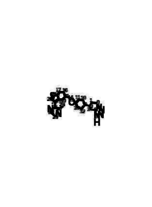 C=CC(Cc1nnn[nH]1)c1ccc(OCc2ccc3scc(-c4nccnc4C)c3c2)cc1